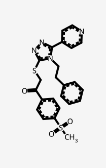 CS(=O)(=O)c1ccc(C(=O)CSc2nnc(-c3ccncc3)n2CCc2ccccc2)cc1